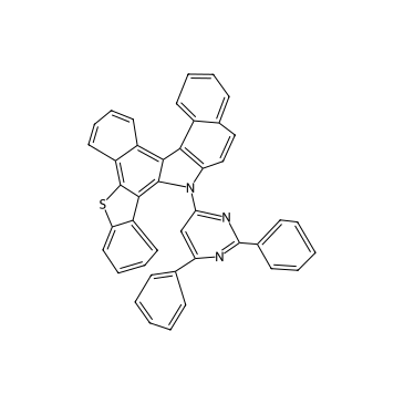 c1ccc(-c2cc(-n3c4ccc5ccccc5c4c4c5ccccc5c5sc6ccccc6c5c43)nc(-c3ccccc3)n2)cc1